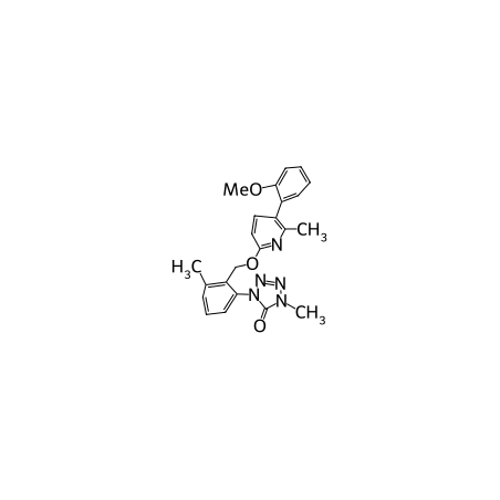 COc1ccccc1-c1ccc(OCc2c(C)cccc2-n2nnn(C)c2=O)nc1C